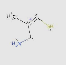 C/C(=C/S)CN